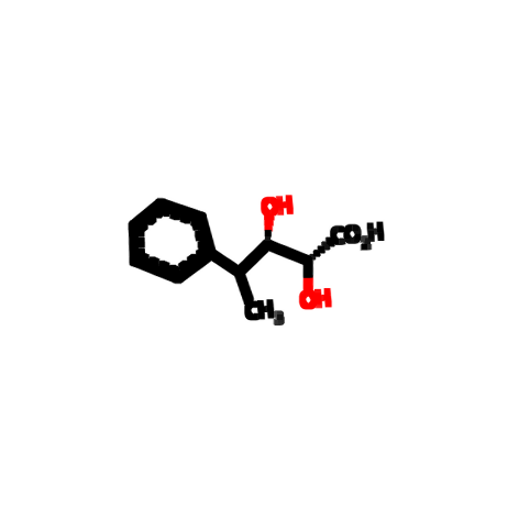 CC(c1ccccc1)[C@H](O)[C@@H](O)C(=O)O